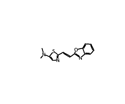 CN(C)c1cnc(/C=C/c2nc3ccccc3o2)s1